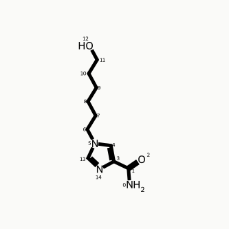 NC(=O)c1cn(CCCCCCO)cn1